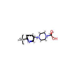 [CH3][Sn]([CH3])([CH3])[c]1ccc(N2CCN(C(=O)O)CC2)cn1